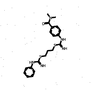 CN(C)C(=O)c1ccc(NC(=N)SCCCSC(=N)Nc2ccccc2)cc1